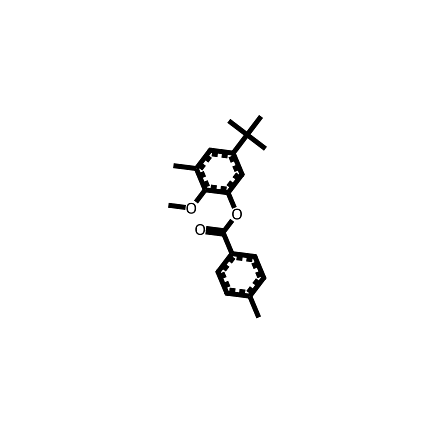 COc1c(C)cc(C(C)(C)C)cc1OC(=O)c1ccc(C)cc1